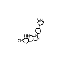 Cc1nccc([C@H]2CC[C@H](N3N=CN4CC5=C(C=C(Cl)CC5)NC=C43)CC2)n1